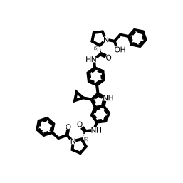 O=C(Nc1ccc2[nH]c(-c3ccc(NC(=O)[C@@H]4CCCN4C(O)Cc4ccccc4)cc3)c(C3CC3)c2c1)[C@@H]1CCCN1C(=O)Cc1ccccc1